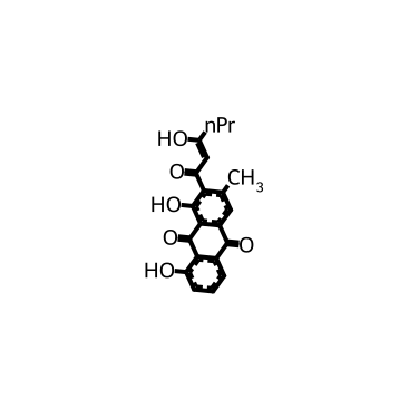 CCCC(O)=CC(=O)c1c(C)cc2c(c1O)C(=O)c1c(O)cccc1C2=O